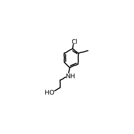 Cc1cc(NCCO)ccc1Cl